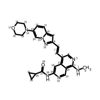 CNc1ncc(/C=C/c2cc3ccc(N4CCOCC4)cn3n2)c2cc(NC(=O)C3CC3)ncc12